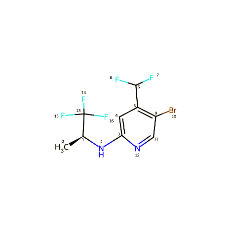 C[C@H](Nc1cc(C(F)F)c(Br)cn1)C(F)(F)F